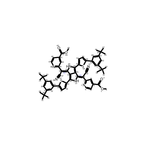 COC(=O)c1ccnc(/C(C#N)=c2\[nH]c(-c3ccc(-c4cc(C(C)(C)C)cc(C(C)(C)C)c4)s3)c3/c(=C(\C#N)c4cc(C(=O)OC)ccn4)[nH]c(-c4ccc(-c5cc(C(C)(C)C)cc(C(C)(C)C)c5)s4)c23)c1